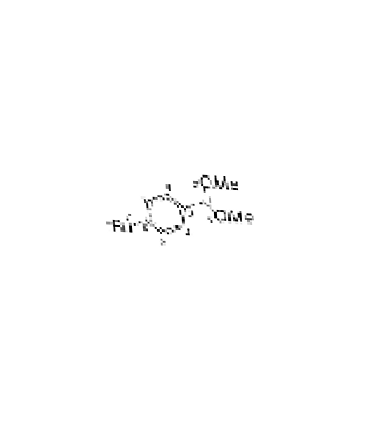 COC(OC)c1ccc(C(C)(C)C)cc1